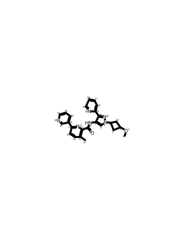 COC1CC(n2cc(NC(=O)c3nc(-c4cccnc4)ccc3C)c(-c3ccccn3)n2)C1